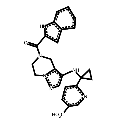 O=C(O)c1ccc(C2(Nc3cnn4c3CN(C(=O)c3cc5ccccc5[nH]3)CC4)CC2)nc1